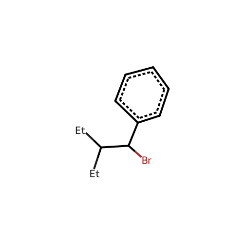 CCC(CC)C(Br)c1ccccc1